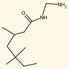 CCC(C)(C)CC(C)CC(=O)NCN